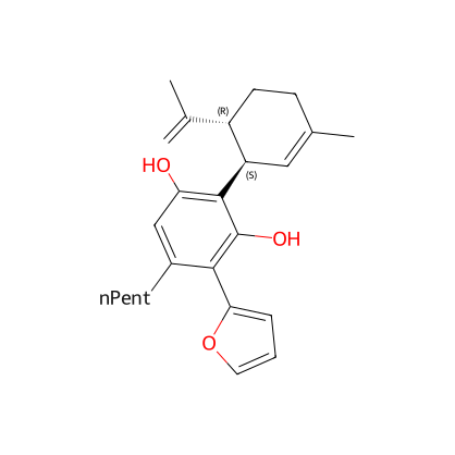 C=C(C)[C@@H]1CCC(C)=C[C@H]1c1c(O)cc(CCCCC)c(-c2ccco2)c1O